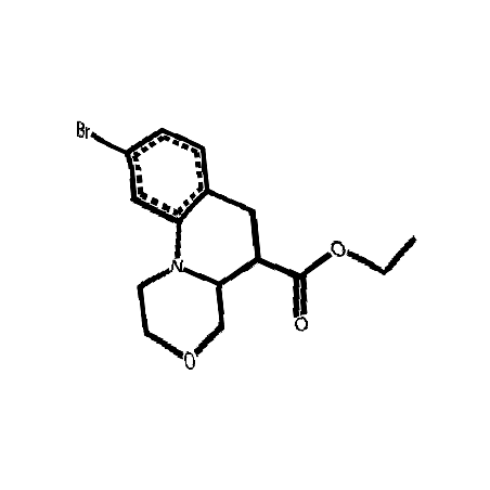 CCOC(=O)C1Cc2ccc(Br)cc2N2CCOCC12